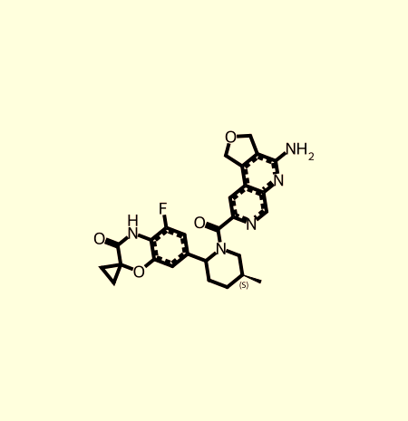 C[C@H]1CCC(c2cc(F)c3c(c2)OC2(CC2)C(=O)N3)N(C(=O)c2cc3c4c(c(N)nc3cn2)COC4)C1